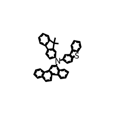 CC1(C)c2ccccc2-c2ccc(N(c3ccc4sc5ccccc5c4c3)c3cc4c5ccccc5ccc4c4ccccc34)cc21